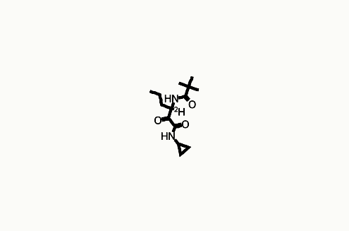 [2H][C@@](CCC)(NC(=O)C(C)(C)C)C(=O)C(=O)NC1CC1